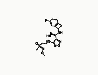 CON=S(C)(=O)CCNc1nonc1C(=NO)NC1Cc2ccc(F)cc21